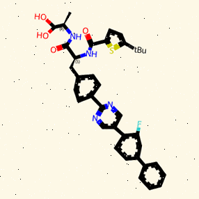 C[C@@H](NC(=O)[C@H](Cc1ccc(-c2ncc(-c3ccc(-c4ccccc4)cc3F)cn2)cc1)NC(=O)c1ccc(C(C)(C)C)s1)C(O)O